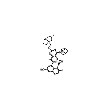 C#Cc1c(F)ccc2cc(O)cc(-c3ncc4c(N5CC6CC(C5)N6)nc(OC[C@@]56CCCN5C[C@H](F)C6)nc4c3F)c12